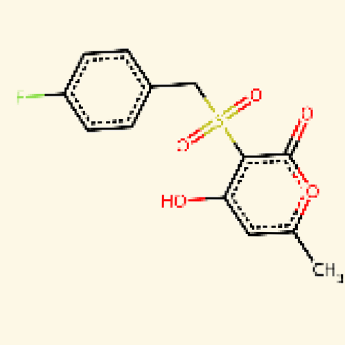 Cc1cc(O)c(S(=O)(=O)Cc2ccc(F)cc2)c(=O)o1